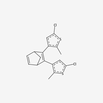 Cc1sc(Cl)cc1C1=C(c2cc(Cl)sc2C)C2C=CC1C2